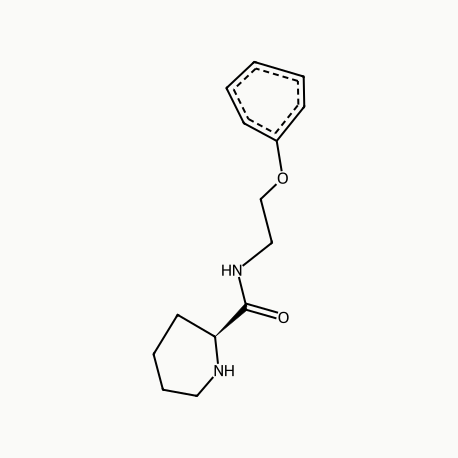 O=C(NCCOc1ccccc1)[C@@H]1CCCCN1